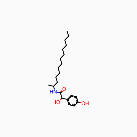 CCCCCCCCCCCCC(C)NC(=O)C(O)c1ccc(O)cc1